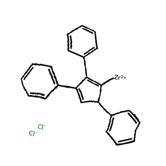 [Cl-].[Cl-].[Zr+2][C]1=C(c2ccccc2)C(c2ccccc2)=CC1c1ccccc1